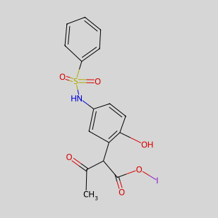 CC(=O)C(C(=O)OI)c1cc(NS(=O)(=O)c2ccccc2)ccc1O